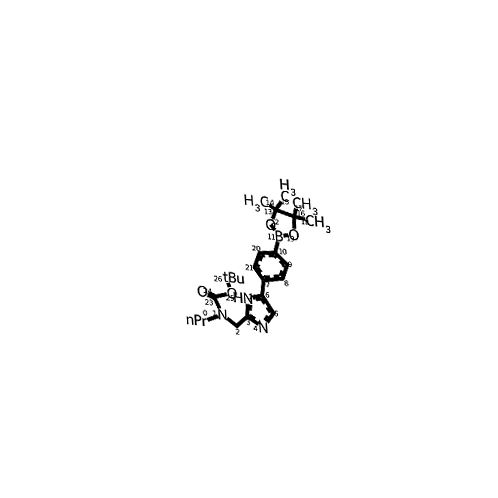 CCCN(Cc1ncc(-c2ccc(B3OC(C)(C)C(C)(C)O3)cc2)[nH]1)C(=O)OC(C)(C)C